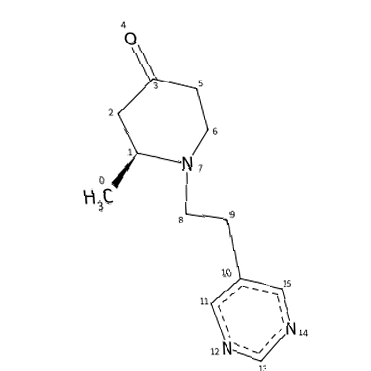 C[C@H]1CC(=O)CCN1CCc1cncnc1